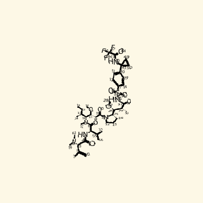 C=C(C)[C@@H](C(=O)N[C@H](C(=O)N(C)[C@@H]([C@@H](C)CC)[C@@H](CC(=O)N1CCC[C@H]1[C@H](OC)[C@@H](C)C(=O)NS(=O)(=O)c1ccc(C2(NC(=O)C(F)(F)F)CC2)cc1)OC)C(C)C)N(C)C